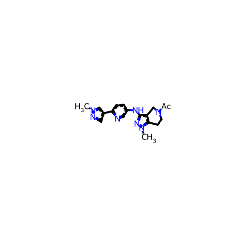 CC(=O)N1CCc2c(c(Nc3ccc(-c4cnn(C)c4)nc3)nn2C)C1